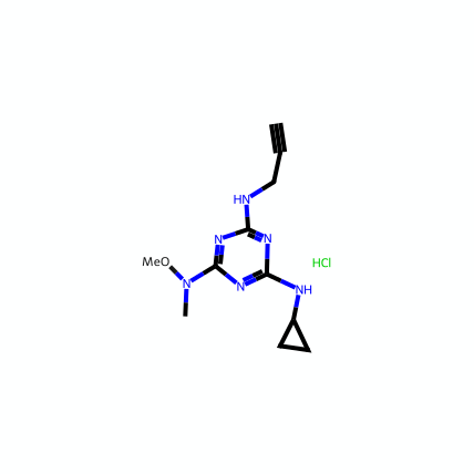 C#CCNc1nc(NC2CC2)nc(N(C)OC)n1.Cl